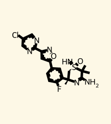 CC1(C)C(N)=N[C@](C)(c2cc(-c3cc(-c4ncc(Cl)cn4)no3)ccc2F)C[S@]1(=N)=O